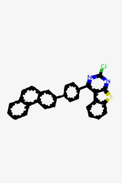 Clc1nc(-c2ccc(-c3ccc4c(ccc5ccccc54)c3)cc2)c2c(n1)sc1ccccc12